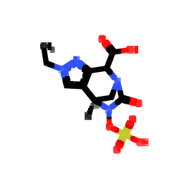 CCn1cc2c(n1)C(C(=O)O)N1C[C@H]2N(OS(=O)(=O)O)C1=O